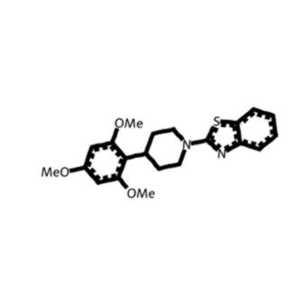 COc1cc(OC)c(C2CCN(c3nc4ccccc4s3)CC2)c(OC)c1